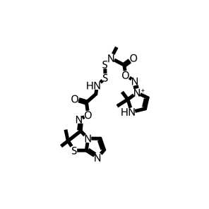 CN(SSNCC(=O)ON=C1n2ccnc2SC1(C)C)C(=O)ON=[N+]1C=CNC1(C)C